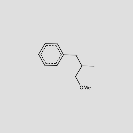 COCC(C)[CH]c1ccccc1